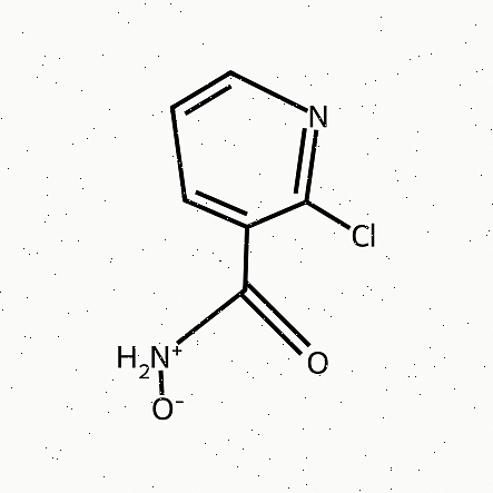 O=C([NH2+][O-])c1cccnc1Cl